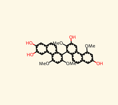 COc1cc(OC)c2c(ccc3cc(O)c(O)cc32)c1-c1c(OC)c(O)cc2c1ccc1cc(O)cc(OC)c12